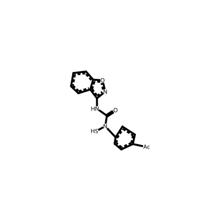 CC(=O)c1ccc(N(S)C(=O)Nc2noc3ccccc23)cc1